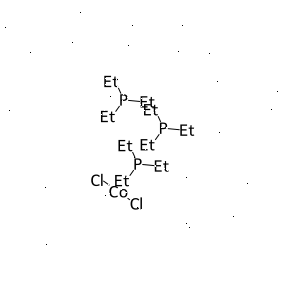 CCP(CC)CC.CCP(CC)CC.CCP(CC)CC.[Cl][Co][Cl]